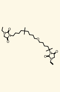 C=CN1CC(=O)N(C(C)(C)CCCCOCCCCC(C)(C)CCCCN2C(=O)CN(CC)C2=O)C1=O